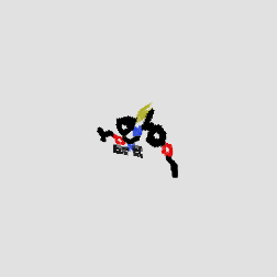 C=CCOc1ccc(C2CSc3ccccc3N2CC(COCC(=C)C)N(CC)CC)cc1